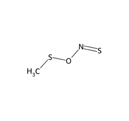 CSON=S